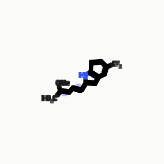 CO/C(=C\C=C\c1cc2cc(C(F)(F)F)ccc2[nH]1)C(=O)O